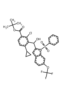 CC(C)(C)OC(=O)c1ccc(C2CC2)c(C(O)c2cc3ccc(OC(F)(F)F)cc3n2S(=O)(=O)c2ccccc2)c1Cl